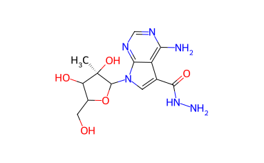 C[C@@]1(O)C(O)C(CO)OC1n1cc(C(=O)NN)c2c(N)ncnc21